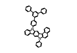 c1ccc(-c2cc(-c3ccccc3)cc(-c3ccc(-n4c5ccccc5c5cc6c(cc54)c4c5ccccc5ccc4n6-c4ccccc4)cc3)c2)cc1